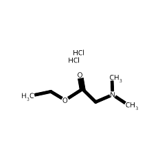 CCOC(=O)CN(C)C.Cl.Cl